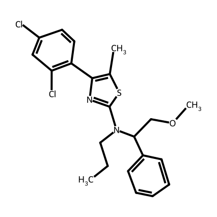 CCCN(c1nc(-c2ccc(Cl)cc2Cl)c(C)s1)C(COC)c1ccccc1